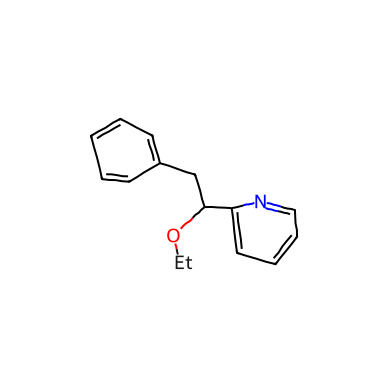 CCOC(Cc1ccccc1)c1ccccn1